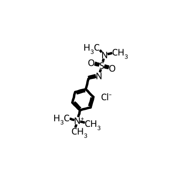 CN(C)S(=O)(=O)N=Cc1ccc([N+](C)(C)C)cc1.[Cl-]